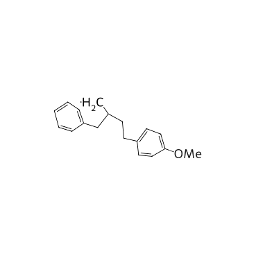 [CH2]C(CCc1ccc(OC)cc1)Cc1ccccc1